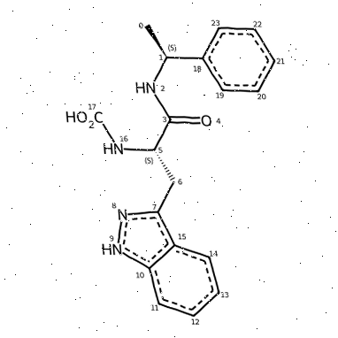 C[C@H](NC(=O)[C@H](Cc1n[nH]c2ccccc12)NC(=O)O)c1ccccc1